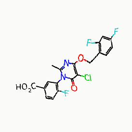 Cc1nc(OCc2ccc(F)cc2F)c(Cl)c(=O)n1-c1cc(C(=O)O)ccc1F